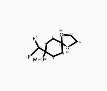 COC1(C(F)F)CCC2(CC1)OCCO2